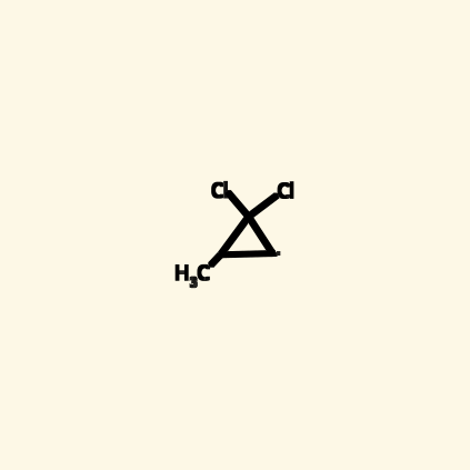 CC1[CH]C1(Cl)Cl